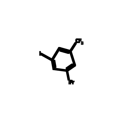 [CH2]C(C)c1cc(I)cc(C(F)(F)F)c1